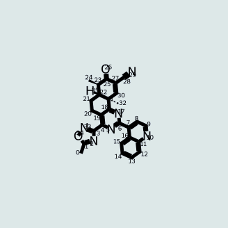 Cc1nc(-c2nc(-c3ccnc4ccccc34)nc3c2CC[C@@H]2[C@@H](C)C(=O)C(C#N)=C[C@@]32C)no1